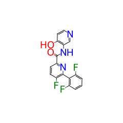 O=C(Nc1cnccc1O)c1ccc(F)c(-c2c(F)cccc2F)n1